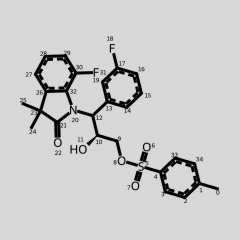 Cc1ccc(S(=O)(=O)OC[C@@H](O)C(c2cccc(F)c2)N2C(=O)C(C)(C)c3cccc(F)c32)cc1